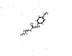 [CH2]C(C)c1ccc(NC(=O)CNCCC)cc1